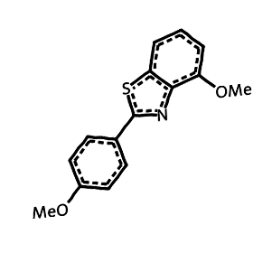 COc1ccc(-c2nc3c(OC)cccc3s2)cc1